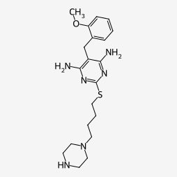 COc1ccccc1Cc1c(N)nc(SCCCCN2CCNCC2)nc1N